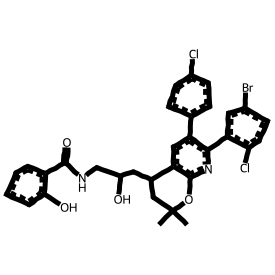 CC1(C)CC(CC(O)CNC(=O)c2ccccc2O)c2cc(-c3ccc(Cl)cc3)c(-c3cc(Br)ccc3Cl)nc2O1